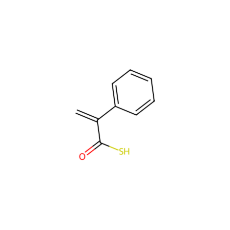 C=C(C(=O)S)c1ccccc1